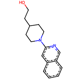 OCCC1CCN(c2cc3ccccc3cn2)CC1